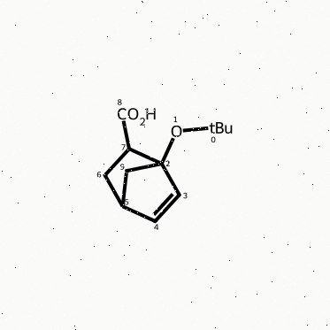 CC(C)(C)OC12C=CC(CC1C(=O)O)C2